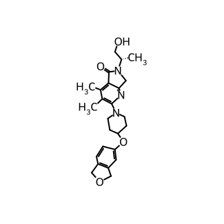 Cc1c(N2CCC(Oc3ccc4c(c3)COC4)CC2)nc2c(c1C)C(=O)N([C@@H](C)CO)C2